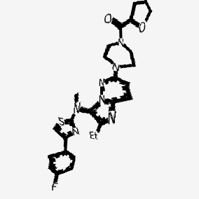 CCc1nc2ccc(N3CCN(C(=O)C4CCCO4)CC3)nn2c1N(C)c1nc(-c2ccc(F)cc2)cs1